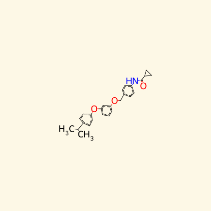 CC(C)c1ccc(Oc2cccc(OCc3ccc(NC(=O)C4CC4)cc3)c2)cc1